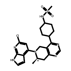 C[C@@H]1Cc2ncnc(C3CCC(NS(C)(=O)=O)CC3)c2CN1c1cc(Cl)nc2[nH]ccc12